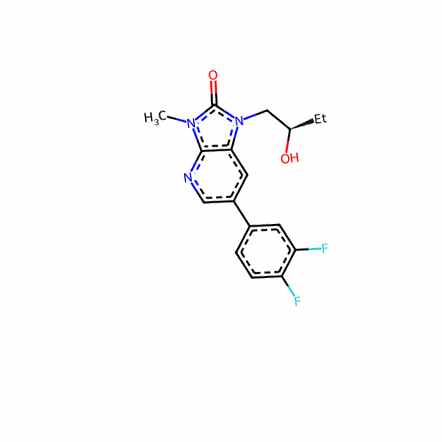 CC[C@@H](O)Cn1c(=O)n(C)c2ncc(-c3ccc(F)c(F)c3)cc21